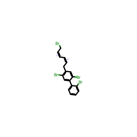 BrC/C=C\C=C/Cc1cc(Br)c(-c2ccccc2Br)cc1Br